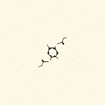 CC(=O)CC(=O)Nc1cc(Cl)c(NC(=O)CC(C)=O)cc1Cl